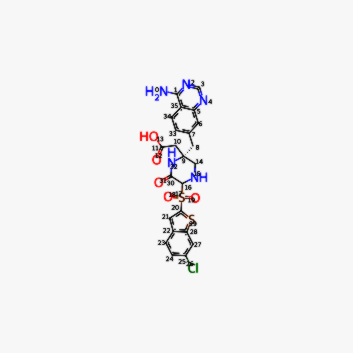 Nc1ncnc2cc(C[C@]3(CC(=O)O)CNC(S(=O)(=O)c4cc5ccc(Cl)cc5s4)C(=O)N3)ccc12